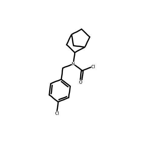 O=C(Cl)N(Cc1ccc(Cl)cc1)C1CC2CCC1C2